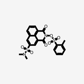 Cc1ccccc1S(=O)(=O)ON1C(=O)c2cccc3cc(S(=O)(=O)N(C)C)cc(c23)C1=O